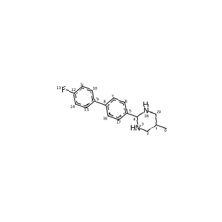 CC1CNC(c2ccc(-c3ccc(F)cc3)cc2)NC1